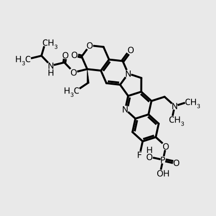 CC[C@@]1(OC(=O)NC(C)C)C(=O)OCc2c1cc1n(c2=O)Cc2c-1nc1cc(F)c(OP(=O)(O)O)cc1c2CN(C)C